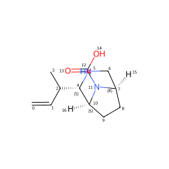 C=CC(C)[C@@H]1NC[C@H]2CC[C@@H]1N2C(=O)O